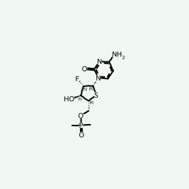 CP(C)(=O)OC[C@H]1S[C@@H](n2ccc(N)nc2=O)[C@@H](F)[C@@H]1O